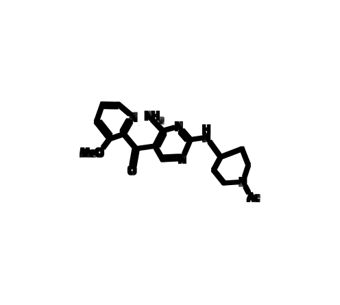 COc1cccnc1C(=O)c1cnc(NC2CCN(C(C)=O)CC2)nc1N